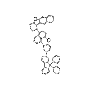 c1ccc(C2(c3ccccc3)c3ccccc3-c3ccc(-c4ccc5c(c4)-c4cccc6c(-c7cccc8oc9cc%10ccccc%10cc9c78)ccc(c46)O5)cc32)cc1